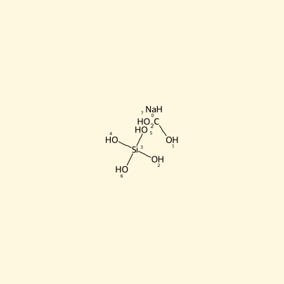 O=C(O)O.O[Si](O)(O)O.[NaH]